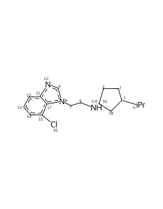 CC(C)C1CC[C@H](NCCn2cnc3cccc(Cl)c32)C1